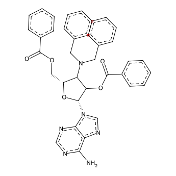 Nc1ncnc2c1ncn2[C@@H]1O[C@H](COC(=O)c2ccccc2)C(N(Cc2ccccc2)Cc2ccccc2)C1OC(=O)c1ccccc1